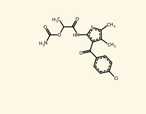 Cc1sc(NC(=O)C(C)OC(N)=O)c(C(=O)c2ccc(Cl)cc2)c1C